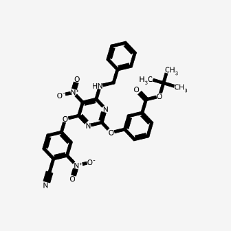 CC(C)(C)OC(=O)c1cccc(Oc2nc(NCc3ccccc3)c([N+](=O)[O-])c(Oc3ccc(C#N)c([N+](=O)[O-])c3)n2)c1